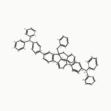 c1ccc(CC2(Cc3ccccc3)c3cc(-c4ccc(N(c5ccccc5)c5ccccc5)cc4)ccc3-c3ccc(-c4ccc(N(c5ccccc5)c5ccccc5)cc4)cc32)cc1